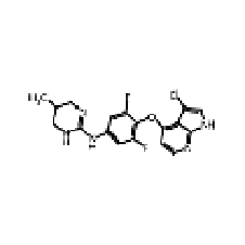 CC1CN=C(Nc2cc(F)c(Oc3ccnc4[nH]cc(Cl)c34)c(F)c2)NC1